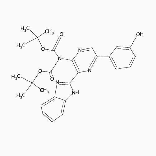 CC(C)(C)OC(=O)N(C(=O)OC(C)(C)C)c1ncc(-c2cccc(O)c2)nc1-c1nc2ccccc2[nH]1